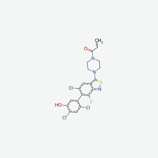 C=CC(=O)N1CCN(c2snc3c(F)c(-c4cc(O)c(Cl)cc4Cl)c(Cl)cc23)CC1